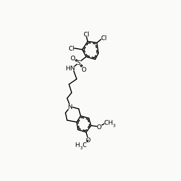 COc1cc2c(cc1OC)CN(CCCCNS(=O)(=O)c1ccc(Cl)c(Cl)c1Cl)CC2